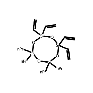 C=C[Si]1(C=C)O[Si](C=C)(C=C)O[Si](CCC)(CCC)O[Si](CCC)(CCC)O1